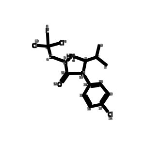 CC(C)C1NN(SC(F)(Cl)Cl)C(=O)N1c1ccc(Cl)cc1